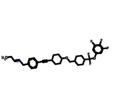 CC/C=C/Cc1ccc(C#CC2CCC(OCC3CCC(C(F)(F)Oc4cc(F)c(F)c(F)c4)CC3)CC2)cc1